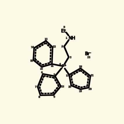 CCNCC[P+](c1ccccc1)(c1ccccc1)c1ccccc1.[Br-]